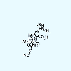 CO[C@@]1(NC(=O)CSCC#N)C(=O)N2C(C(=O)O)=C(CSc3nnnn3C)CS[C@@H]21.[Na]